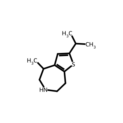 CC(C)c1cc2c(s1)CCNCC2C